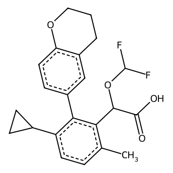 Cc1ccc(C2CC2)c(-c2ccc3c(c2)CCCO3)c1C(OC(F)F)C(=O)O